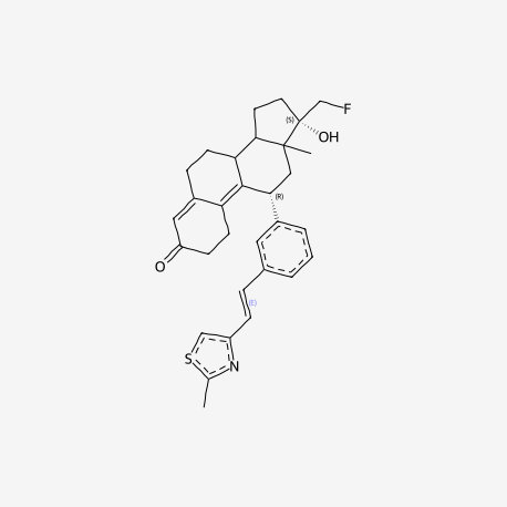 Cc1nc(/C=C/c2cccc([C@H]3CC4(C)C(CC[C@@]4(O)CF)C4CCC5=CC(=O)CCC5=C43)c2)cs1